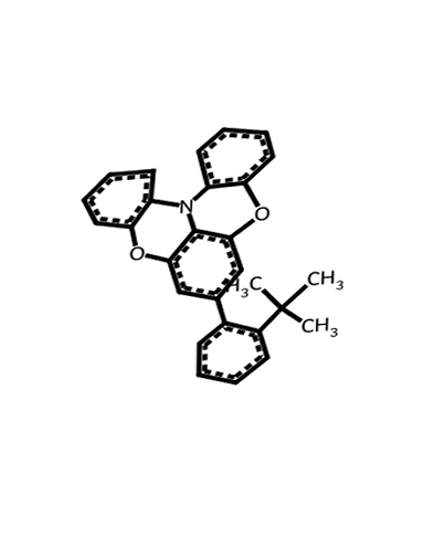 CC(C)(C)c1ccccc1-c1cc2c3c(c1)Oc1ccccc1N3c1ccccc1O2